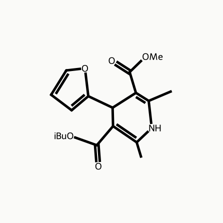 COC(=O)C1=C(C)NC(C)=C(C(=O)OCC(C)C)C1c1ccco1